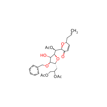 C=CCC1C=CC(=O)[C@@H]([C@H](OC(C)=O)[C@H]2O[C@H](CC(COC(C)=O)OC(C)=O)[C@@H](OCc3ccccc3)C2O)O1